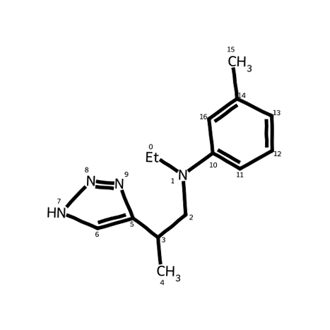 CCN(CC(C)c1c[nH]nn1)c1cccc(C)c1